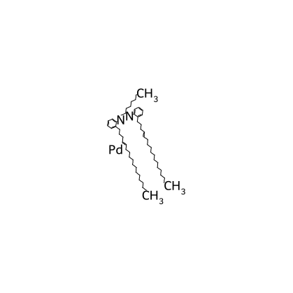 CCCCCCCCCCCCCC=CCCCc1ccccc1N=CC(CCCCCC)=Nc1ccccc1CCCC=CCCCCCCCCCCCCC.[Pd]